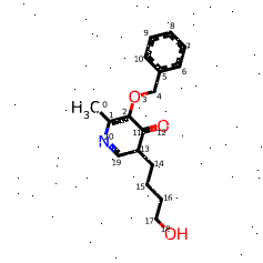 CC1=C(OCc2ccccc2)C(=O)C(CCCCO)C=N1